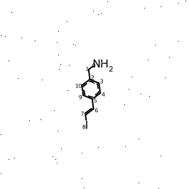 NCc1ccc(C=CI)cc1